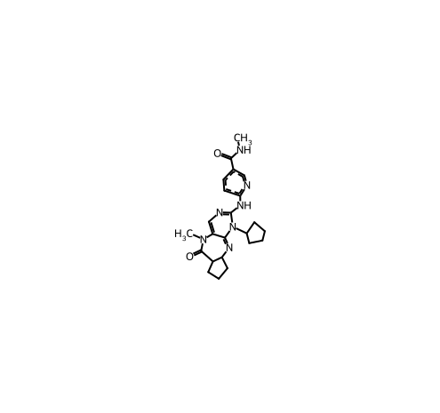 CNC(=O)c1ccc(NC2=NC=C3C(=NC4CCCC4C(=O)N3C)N2C2CCCC2)nc1